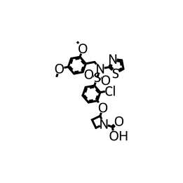 COc1ccc(CN(c2nccs2)S(=O)(=O)c2cccc(OC3CCN3C(=O)O)c2Cl)c(OC)c1